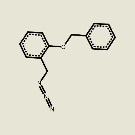 [N-]=[N+]=NCc1ccc[c]c1OCc1ccccc1